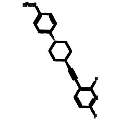 CCCCCc1ccc([C@H]2CC[C@H](C#Cc3ccc(F)nc3F)CC2)cc1